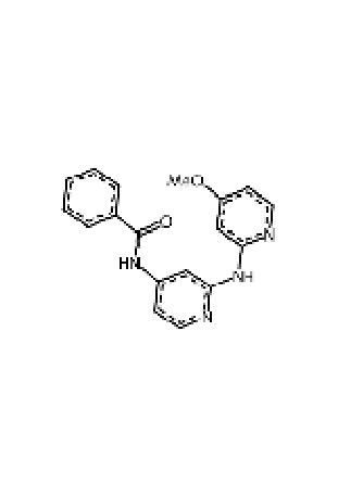 COc1ccnc(Nc2cc(NC(=O)c3ccccc3)ccn2)c1